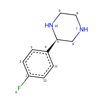 Fc1ccc([C@@H]2CNCCN2)cc1